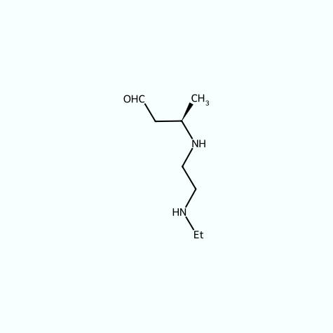 CCNCCN[C@H](C)CC=O